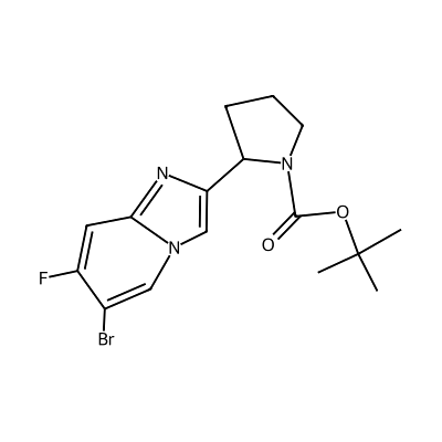 CC(C)(C)OC(=O)N1CCCC1c1cn2cc(Br)c(F)cc2n1